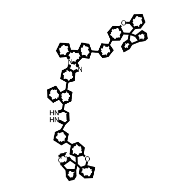 N=C(/C=C\C(=N)c1ccc(-c2ccc3c(c2)nc2c4cc(-c5cccc(-c6ccc7c(c6)C6(c8ccccc8O7)c7ccccc7-c7ccccc76)c5)ccc4c4ccccc4n32)c2ccccc12)c1cccc(-c2ccc3c(c2)C2(c4ccccc4O3)c3ccccc3-c3ccccc32)c1